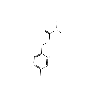 O=C(OCc1ccc(Cl)nc1)N(S)S.[KH]